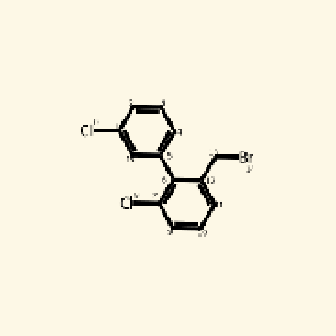 Clc1cccc(-c2c(Cl)cccc2CBr)c1